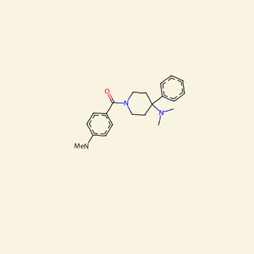 CNc1ccc(C(=O)N2CCC(c3ccccc3)(N(C)C)CC2)cc1